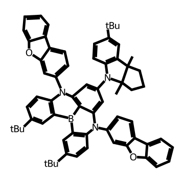 CC(C)(C)c1ccc2c(c1)B1c3cc(C(C)(C)C)ccc3N(c3ccc4c(c3)oc3ccccc34)c3cc(N4c5ccc(C(C)(C)C)cc5C5(C)CCCC45C)cc(c31)N2c1ccc2c(c1)oc1ccccc12